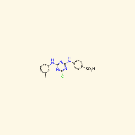 Cc1cccc(Nc2nc(Cl)nc(Nc3ccc(S(=O)(=O)O)cc3)n2)c1